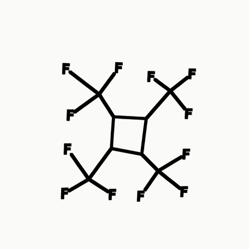 FC(F)(F)C1C(C(F)(F)F)C(C(F)(F)F)C1C(F)(F)F